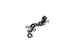 O=C(OCC(=O)N1CCCCCC1)c1cc(N=Nc2ccc(S(=O)(=O)Nc3ccccn3)cc2)ccc1O